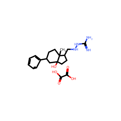 CC12CCC(c3ccccc3)CC1(O)CCC2CNNC(=N)N.O=C(O)C(=O)O